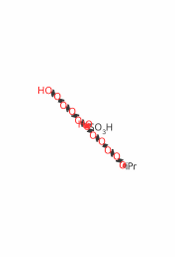 CC(C)OCCOCCOCCOCCOCCOCCOCCOCCOCCOCCO.O=S(=O)(O)O